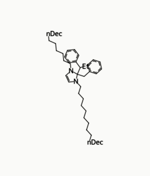 CCCCCCCCCCCCCCCCCCCN1C=CN(CCCCCCCCCCCCCCCC)C1(Cc1ccccc1)C(CC)c1ccccc1